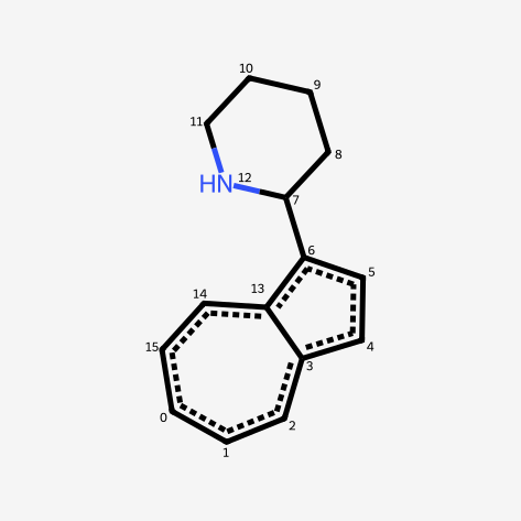 c1ccc2ccc(C3CCCCN3)c-2cc1